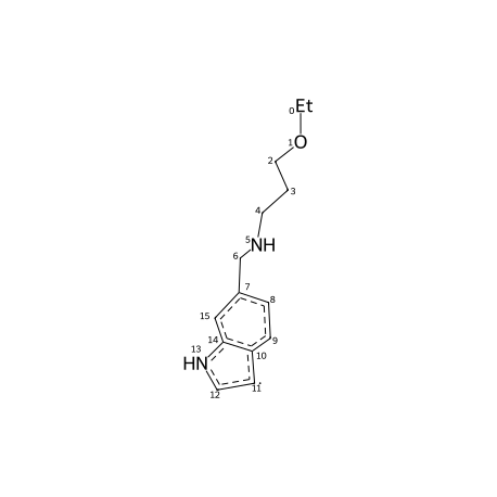 CCOCCCNCc1ccc2[c]c[nH]c2c1